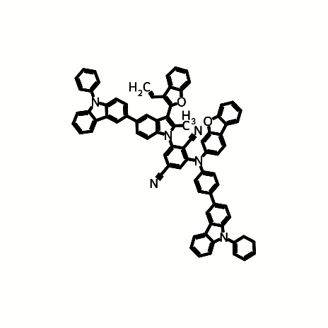 C=Cc1c(-c2c(C)n(-c3cc(C#N)cc(N(c4ccc(-c5ccc6c(c5)c5ccccc5n6C5=CC=CCC5)cc4)c4ccc5c(c4)oc4ccccc45)c3C#N)c3ccc(-c4ccc5c(c4)c4ccccc4n5-c4ccccc4)cc23)oc2ccccc12